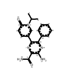 CC(C)n1cc(-c2nc(C(N)=O)c(N)nc2-c2ccccc2)ccc1=O